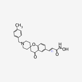 Cc1ccc(CN2CCC3(CC2)CC(=O)c2cc(/C=C/C(=O)NO)ccc2O3)cc1